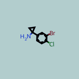 NC1(c2ccc(Cl)c(Br)c2)CC1